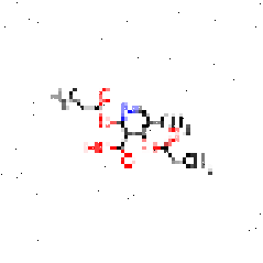 CCC(=O)Oc1ncc(C)c(OC(=O)CC)c1C(=O)O